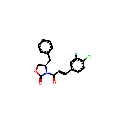 O=C(C=Cc1ccc(Cl)c(F)c1)N1C(=O)OC[C@H]1Cc1ccccc1